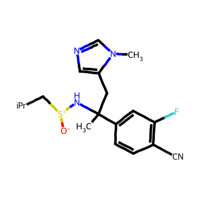 CC(C)C[S+]([O-])NC(C)(Cc1cncn1C)c1ccc(C#N)c(F)c1